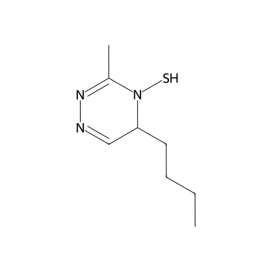 CCCCC1C=NN=C(C)N1S